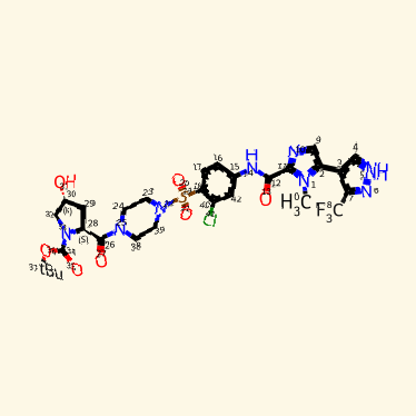 Cn1c(-c2c[nH]nc2C(F)(F)F)cnc1C(=O)Nc1ccc(S(=O)(=O)N2CCN(C(=O)[C@@H]3C[C@@H](O)CN3C(=O)OC(C)(C)C)CC2)c(Cl)c1